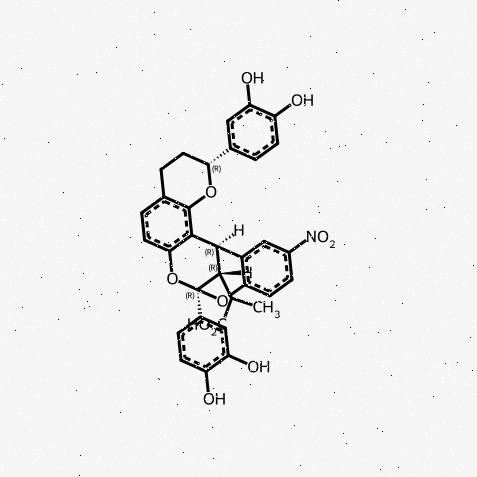 CC(C(=O)O)[C@H]1[C@@H]2c3cc([N+](=O)[O-])ccc3O[C@@]1(c1ccc(O)c(O)c1)Oc1ccc3c(c12)O[C@@H](c1ccc(O)c(O)c1)CC3